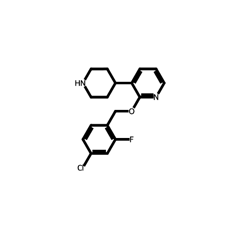 Fc1cc(Cl)ccc1COc1ncccc1C1CCNCC1